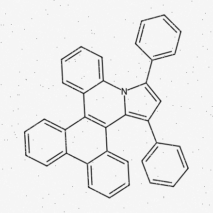 c1ccc(-c2cc(-c3ccccc3)n3c4ccccc4c4c5ccccc5c5ccccc5c4c23)cc1